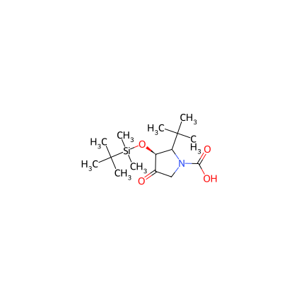 CC(C)(C)C1[C@H](O[Si](C)(C)C(C)(C)C)C(=O)CN1C(=O)O